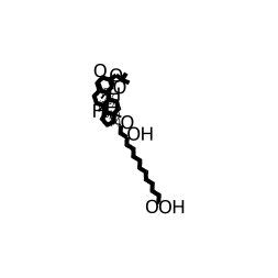 CC1(C)OC2=C(O1)[C@@]1(C)C(=CC2=O)CC[C@@H]2[C@@H]1CC[C@]1(C)[C@H](C(=O)CC(O)CCCCCCCCCCC(=O)O)CC[C@@H]21